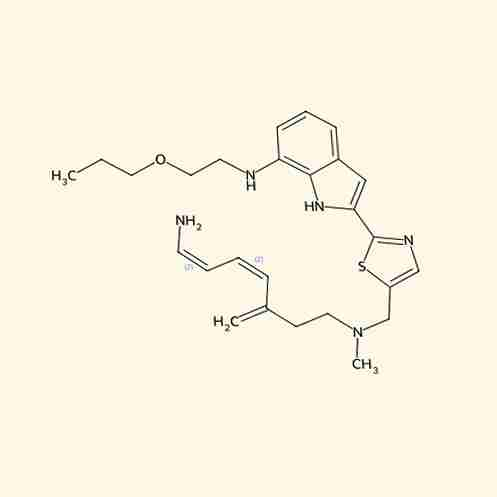 C=C(/C=C\C=C/N)CCN(C)Cc1cnc(-c2cc3cccc(NCCOCCC)c3[nH]2)s1